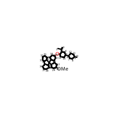 C=C(C)c1cc(-c2ccc(C)cc2)ccc1Oc1ccc(C2(c3ccc(OC)cc3)c3ccccc3-c3ccccc32)cc1